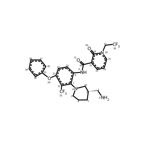 NC[C@@H]1CCCN(c2c(NC(=O)c3cccn(CC(F)(F)F)c3=O)ccc(Oc3ccccc3)c2C(F)(F)F)C1